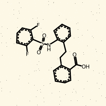 O=C(O)c1ccccc1CCc1ccccc1NS(=O)(=O)c1c(F)cccc1F